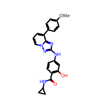 COc1ccc(-c2cccn3nc(Nc4ccc(C(=O)NC5CC5)c(O)c4)nc23)cc1